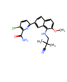 COc1ccc2ccc(-c3ccc(Cl)c(C(N)=O)n3)cc2c1NCC(C)(C)C#N